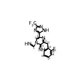 N=Cn1cc(-c2nc(C(F)(F)F)n[nH]2)nc(Cc2ccccc2F)c1=N